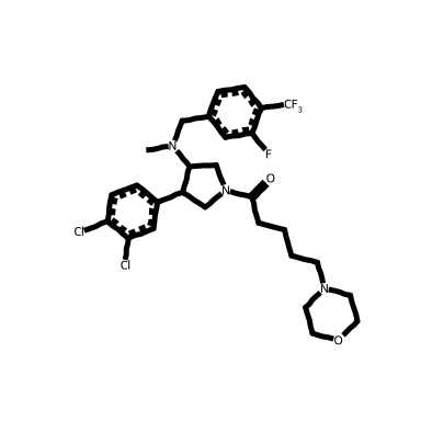 CN(Cc1ccc(C(F)(F)F)c(F)c1)C1CN(C(=O)CCCCN2CCOCC2)CC1c1ccc(Cl)c(Cl)c1